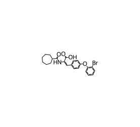 O=C(O)C(=Cc1ccc(Oc2ccccc2Br)cc1)NC(=O)C1CCCCCC1